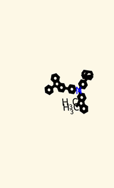 CC1(C)c2ccccc2-c2ccc(N(c3ccc(-c4ccc5c(c4)-c4ccccc4C5c4ccccc4)cc3)c3ccc(C45CC6CC(CC(C6)C4)C5)cc3)cc21